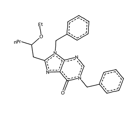 CCCC(Cc1nc2c(=O)n(Cc3ccccc3)cnc2n1Cc1ccccc1)OCC